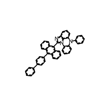 c1ccc(-c2ccc(-c3c4ccccc4c(-c4nc5cccc6c5n4-c4ccccc4N6c4ccccc4)c4ccccc34)cc2)cc1